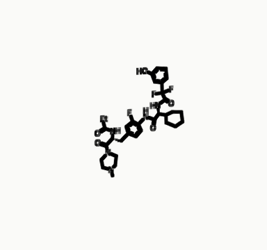 CCC(=O)N[C@H](Cc1ccc(NC(=O)[C@@H](NC(=O)C(F)(F)c2cccc(O)c2)C2CCCCC2)c(F)c1)C(=O)N1CCN(C)CC1